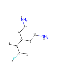 CC(F)C(C)C(CCN)CCN